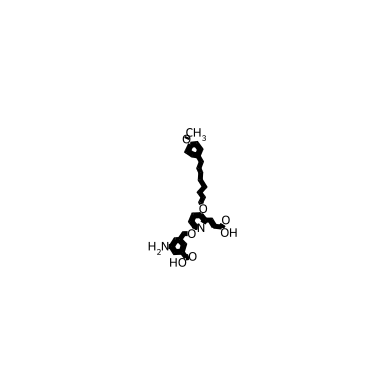 COc1ccc(CCCCCCCCOc2ccc(OCc3cc(N)cc(C(=O)O)c3)nc2C=CC(=O)O)cc1